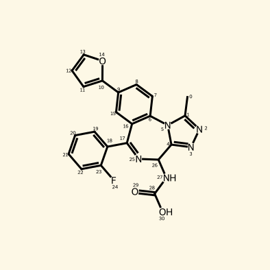 Cc1nnc2n1-c1ccc(-c3ccco3)cc1C(c1ccccc1F)=NC2NC(=O)O